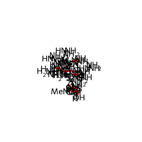 CNC(=O)C1CCCN1C(=O)C(Cc1ccc(O)cc1)NC(=O)C(N)CSSC[C@H](N)C(=O)N[C@@H](CCCNC(=N)N)C(=O)N[C@@H](CCCNC(=N)N)C(=O)N[C@@H](CCCNC(=N)N)C(=O)N[C@@H](CCCNC(=N)N)C(=O)N[C@@H](CCCNC(=N)N)C(=O)N[C@@H](CCCNC(=N)N)C(=O)NCCCCC(NC(=O)[C@H](CCCNC(=N)N)NC(=O)[C@H](CCCNC(=N)N)NC(=O)CCCC[C@@H]1SC[C@@H]2NC(=O)N[C@@H]21)C(N)=O